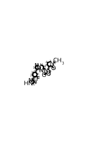 CCn1cccc(C2COC(=O)N2c2ccn3ncc(-c4ccc(-c5nc[nH]n5)c(F)c4)c3n2)c1=O